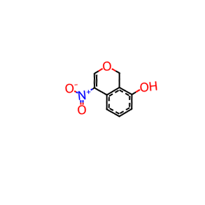 O=[N+]([O-])C1=COCc2c(O)cccc21